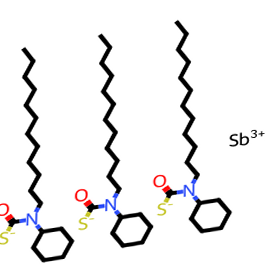 CCCCCCCCCCCCN(C(=O)[S-])C1CCCCC1.CCCCCCCCCCCCN(C(=O)[S-])C1CCCCC1.CCCCCCCCCCCCN(C(=O)[S-])C1CCCCC1.[Sb+3]